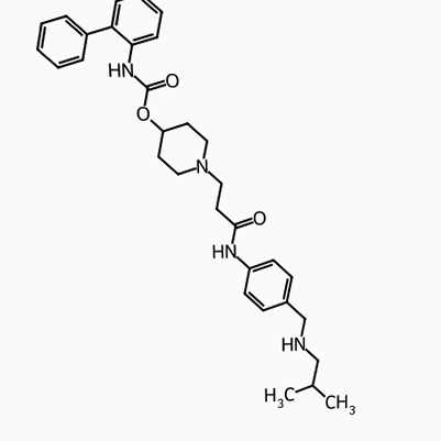 CC(C)CNCc1ccc(NC(=O)CCN2CCC(OC(=O)Nc3ccccc3-c3ccccc3)CC2)cc1